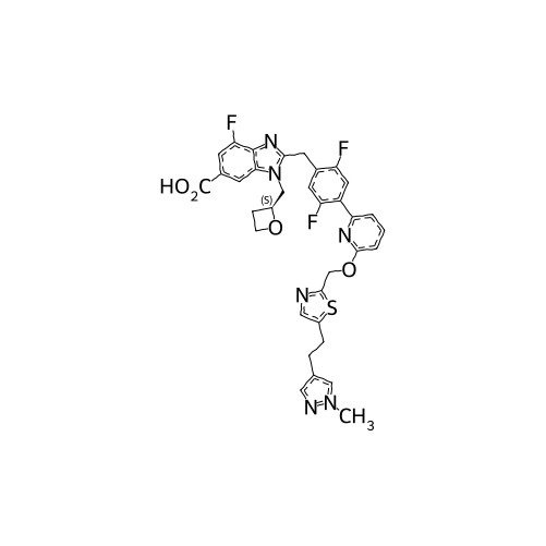 Cn1cc(CCc2cnc(COc3cccc(-c4cc(F)c(Cc5nc6c(F)cc(C(=O)O)cc6n5C[C@@H]5CCO5)cc4F)n3)s2)cn1